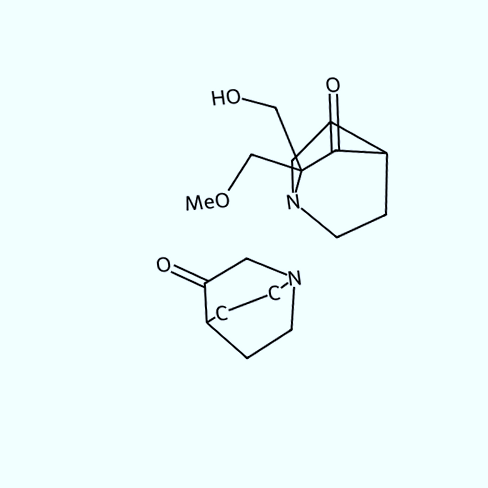 COCC1(CO)C(=O)C2CCN1CC2.O=C1CN2CCC1CC2